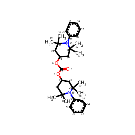 CC1(C)CC(OC(=O)OC2CC(C)(C)N(c3ccccc3)C(C)(C)C2)CC(C)(C)N1c1ccccc1